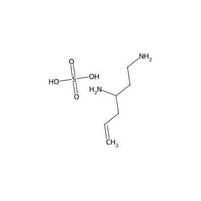 C=CCC(N)CCN.O=S(=O)(O)O